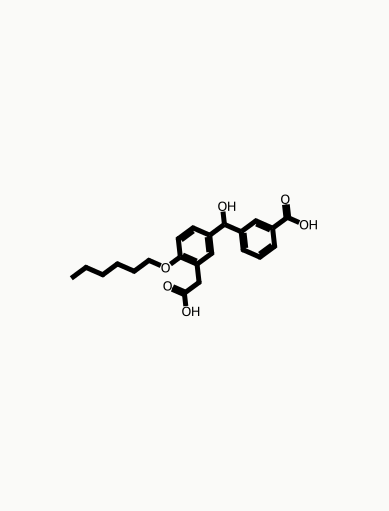 CCCCCCOc1ccc(C(O)c2cccc(C(=O)O)c2)cc1CC(=O)O